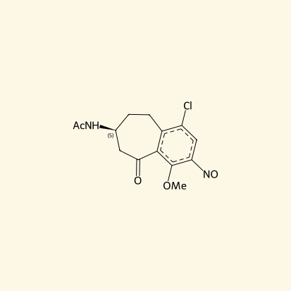 COc1c(N=O)cc(Cl)c2c1C(=O)C[C@@H](NC(C)=O)CC2